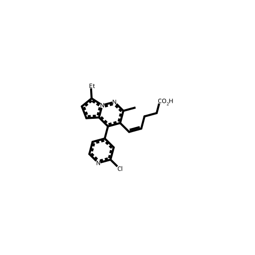 CCc1ccc2c(-c3ccnc(Cl)c3)c(/C=C\CCC(=O)O)c(C)nn12